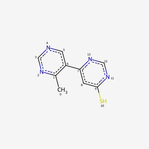 Cc1ncncc1-c1cc(S)ncn1